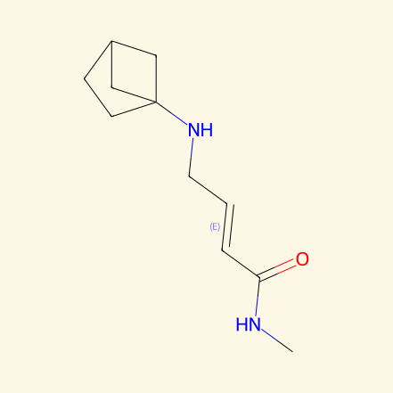 CNC(=O)/C=C/CNC12CCC(C1)C2